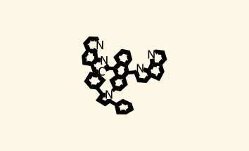 c1ccc(-c2ccc(-c3ccccc3)n2-c2ccc3c(-c4ccc5ccc6cccnc6c5n4)c4ccccc4c(-c4ccc5ccc6cccnc6c5n4)c3c2)cc1